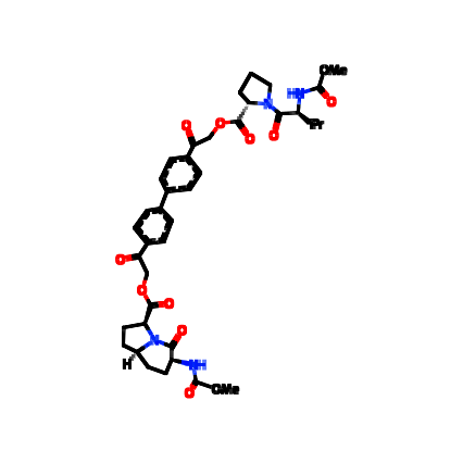 COC(=O)N[C@H]1CC[C@H]2CC[C@@H](C(=O)OCC(=O)c3ccc(-c4ccc(C(=O)COC(=O)[C@@H]5CCCN5C(=O)[C@@H](NC(=O)OC)C(C)C)cc4)cc3)N2C1=O